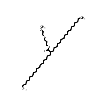 CCCCCCCCCCCCCCCCCC(CCCCCCCCCCCCCCCCC)C(=O)OCCCOCCOC